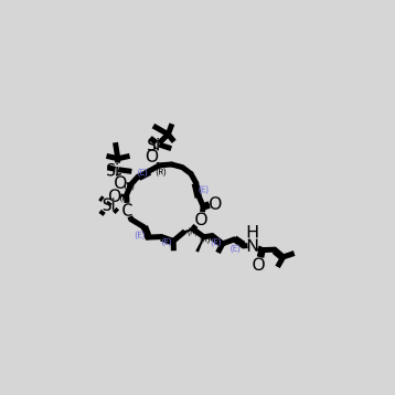 CC(C)=CC(=O)N/C=C/C(C)=C/[C@@H](C)[C@H]1C/C(C)=C/C=C/CC[C@@H](O[Si](C)(C)C)[C@H](O[Si](C)(C)C(C)(C)C)/C=C/[C@H](O[Si](C)(C)C(C)(C)C)CCC/C=C/C(=O)O1